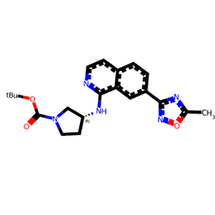 Cc1nc(-c2ccc3ccnc(N[C@@H]4CCN(C(=O)OC(C)(C)C)C4)c3c2)no1